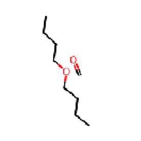 C=O.CCCCOCCCC